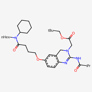 CCCCCCN(C(=O)CCCOc1ccc2c(c1)CN(CC(=O)OCC(C)(C)C)C(NC(=O)C(C)C)=N2)C1CCCCC1